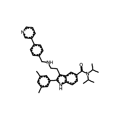 Cc1cc(C)cc(-c2[nH]c3ccc(C(=O)N(C(C)C)C(C)C)cc3c2CCNCc2ccc(-c3cccnc3)cc2)c1